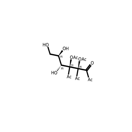 CC(=O)O[C@](C(C)=O)(C(=O)C(C)=O)[C@](OC(C)=O)(C(C)=O)[C@H](O)[C@H](O)CO